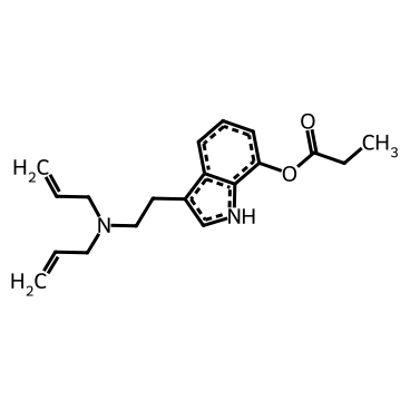 C=CCN(CC=C)CCc1c[nH]c2c(OC(=O)CC)cccc12